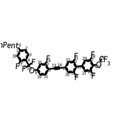 CCCCCc1ccc(C(F)(F)Oc2ccc(C#Cc3cc(F)c(-c4cc(F)c(OC(F)(F)F)c(F)c4)c(F)c3)c(F)c2)c(F)c1